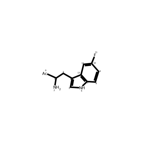 CC(=O)C(N)Cc1c[nH]c2ccc(F)cc12